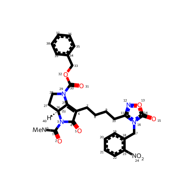 CNC(=O)N1C(=O)C(CCCCc2noc(=O)n2Cc2ccccc2[N+](=O)[O-])=C2[C@@H]1CCN2C(=O)OCc1ccccc1